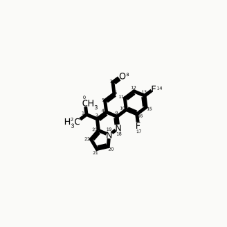 CC(C)c1c(C=CC=O)c(-c2ccc(F)cc2F)nn2cccc12